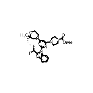 COC(=O)N1CCN(c2cc(N3CCOC(C)(C)C3)nc(-n3c(C(F)F)nc4ccccc43)n2)CC1